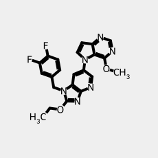 CCOc1nc2ncc(-n3ccc4ncnc(OC)c43)cc2n1Cc1ccc(F)c(F)c1